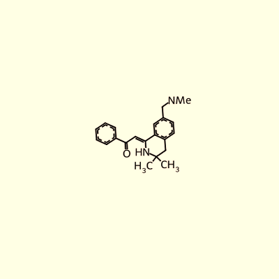 CNCc1ccc2c(c1)/C(=C/C(=O)c1ccccc1)NC(C)(C)C2